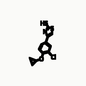 Sc1nc(-c2ccc(OC3CC3)c(Cl)c2)cs1